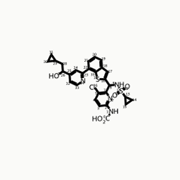 O=C(O)Nc1ccc(Cl)c(C(NS(=O)(=O)C2CC2)c2cc3cccc(-c4cc(C(O)CC5CC5)ccn4)c3s2)n1